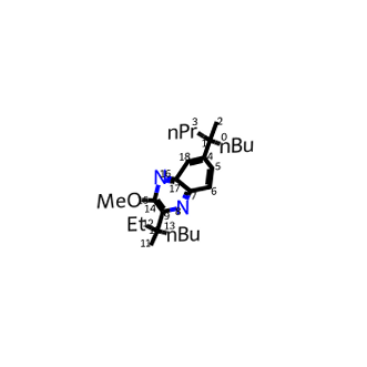 CCCCC(C)(CCC)c1ccc2nc(C(C)(CC)CCCC)c(OC)nc2c1